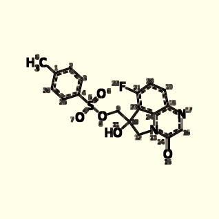 Cc1ccc(S(=O)(=O)OCC2(O)Cn3c(=O)cnc4ccc(F)c2c43)cc1